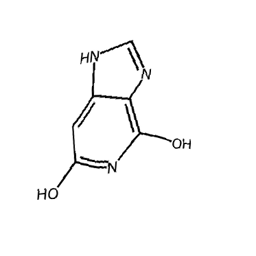 Oc1cc2[nH]cnc2c(O)n1